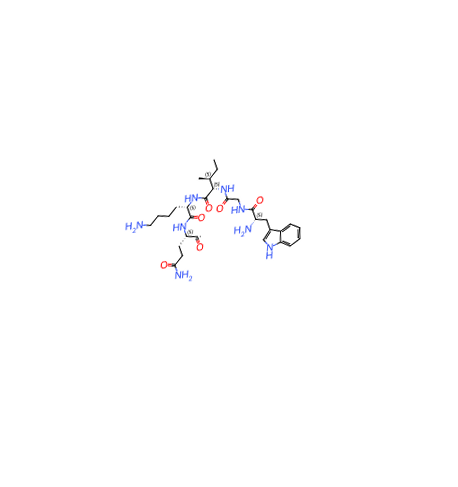 CC[C@H](C)[C@H](NC(=O)CNC(=O)[C@@H](N)Cc1c[nH]c2ccccc12)C(=O)N[C@@H](CCCCN)C(=O)N[C@H]([C]=O)CCC(N)=O